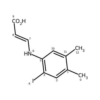 Cc1cc(I)c(N/C=C/C(=O)O)cc1C